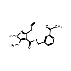 C=CCc1nn(C(C)(C)C)c(SCCC)c1C(=O)OCc1cccc(C(=O)OC)c1